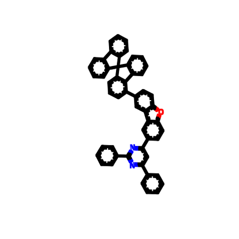 c1ccc(-c2cc(-c3ccc4oc5ccc(-c6cccc7c6-c6ccccc6C76c7ccccc7-c7ccccc76)cc5c4c3)nc(-c3ccccc3)n2)cc1